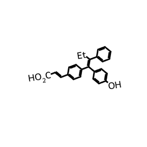 CCC(=C(c1ccc(O)cc1)c1ccc(C=CC(=O)O)cc1)c1ccccc1